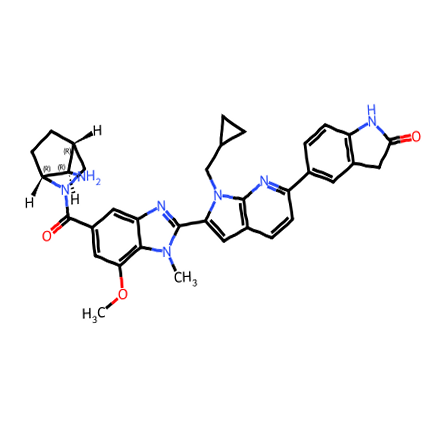 COc1cc(C(=O)N2C[C@H]3CC[C@@H]2[C@@H]3N)cc2nc(-c3cc4ccc(-c5ccc6c(c5)CC(=O)N6)nc4n3CC3CC3)n(C)c12